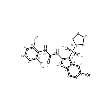 O=C(Nc1[nH]c2ccc(Br)cc2c1S(=O)(=O)N1CCCC1)Nc1c(F)cccc1F